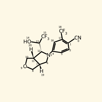 N#Cc1ccc(N2C[C@@H]3COC[C@@H]3[C@@H]2C(O)C(F)(F)F)cc1C(F)(F)F